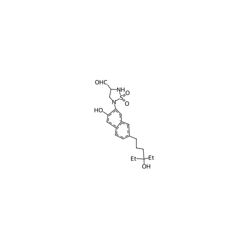 CCC(O)(CC)CCCc1ccc2cc(O)c(N3CC(C=O)NS3(=O)=O)cc2c1